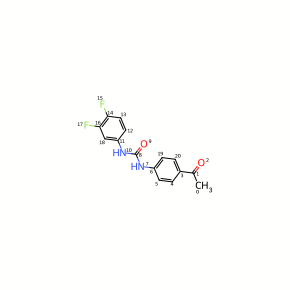 CC(=O)c1ccc(NC(=O)Nc2ccc(F)c(F)c2)cc1